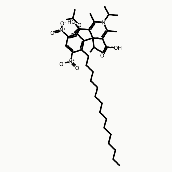 CCCCCCCCCCCCCCCc1c([N+](=O)[O-])cc([N+](=O)[O-])c(OC(C)C)c1C1(C(C)C)C(C(=O)O)=C(C)N(C(C)C)C(C)=C1C(=O)O